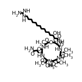 CC(C)[C@@H]1NC(=O)[C@@H](C(C)C)NC(=O)[C@@H](NC(=O)CC(O)CCCCCCCCCCCCNC(=N)N)[C@@H](C)OC(=O)[C@@H](C)NC(=O)[C@@H](CCC(N)=O)NC(=O)[C@@H]([C@@H](C)O)NC1=O